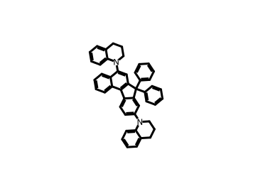 c1ccc(C2(c3ccccc3)c3cc(N4CCCc5ccccc54)ccc3-c3c2cc(N2CCCc4ccccc42)c2ccccc32)cc1